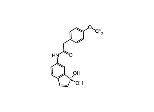 O=C(Cc1ccc(OC(F)(F)F)cc1)Nc1ccc2c(c1)S(O)(O)C=C2